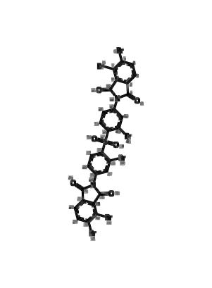 O=C1c2ccc(Br)c(Br)c2C(=O)N1c1ccc(S(=O)(=O)c2ccc(N3C(=O)c4ccc(Br)c(Br)c4C3=O)cc2Br)c(Br)c1